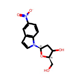 O=[N+]([O-])c1ccc2c(ccn2[C@H]2CC(O)[C@@H](CO)O2)c1